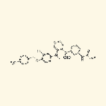 C=CC(=O)Nc1cccc(N(C=O)c2ccncc2N(C)c2ccc(OCc3ccc(C(F)(F)F)cc3)c(Cl)c2)c1